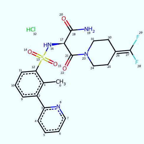 Cc1c(-c2ccccn2)cccc1S(=O)(=O)N[C@@H](C(N)=O)C(=O)N1CCC(=C(F)F)CC1.Cl